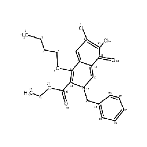 CCCCOc1c2cc(Cl)c(Cl)c(=O)c-2cn(Cc2ccccc2)c1C(=O)OCC